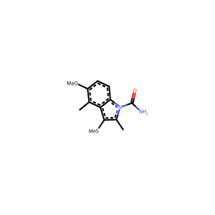 COc1ccc2c(c1C)c(SC)c(C)n2C(N)=O